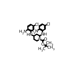 CC(C)(C)OC(=O)N1CCC(Nc2cc(Cl)ccc2N)CC1Nc1cc(Cl)ccc1N